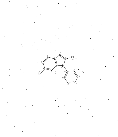 Cc1nc2ccc(Br)cc2n1-c1ccccc1